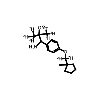 [2H]C([2H])([2H])C(OC)(C(N)c1ccc(OC([2H])([2H])C2(C)CCCC2)cc1)C([2H])([2H])[2H]